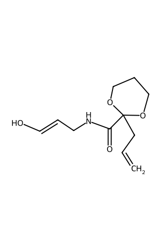 C=CCC1(C(=O)NCC=CO)OCCCO1